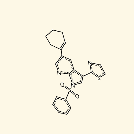 O=S(=O)(c1ccccc1)n1cc(-c2nccs2)c2cc(C3=CCCCC3)cnc21